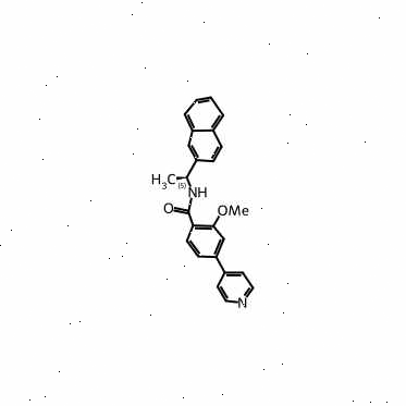 COc1cc(-c2ccncc2)ccc1C(=O)N[C@@H](C)c1ccc2ccccc2c1